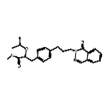 COC(=O)C(Cc1ccc(CCCn2ncc3ccccc3c2=O)cc1)OC(C)C